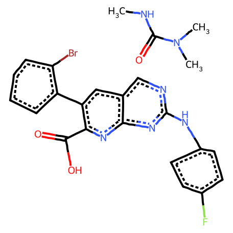 CNC(=O)N(C)C.O=C(O)c1nc2nc(Nc3ccc(F)cc3)ncc2cc1-c1ccccc1Br